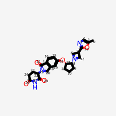 Cc1cnc(C2CN([C@@H]3CCC[C@H]3Oc3ccc4c(c3)CN(C3CCC(=O)NC3=O)C4=O)C2)o1